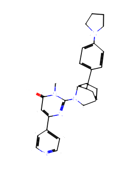 Cn1c(N2CC3CCC2C(c2ccc(N4CCCC4)cc2)C3)nc(-c2ccncc2)cc1=O